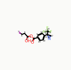 O=C(OC(O)CCI)c1ccc(C2(C(F)(F)F)C=N2)cc1